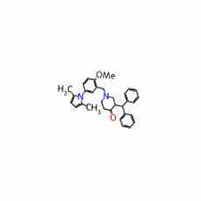 COc1ccc(-n2c(C)ccc2C)cc1CN1CCC(=O)C(C(c2ccccc2)c2ccccc2)C1